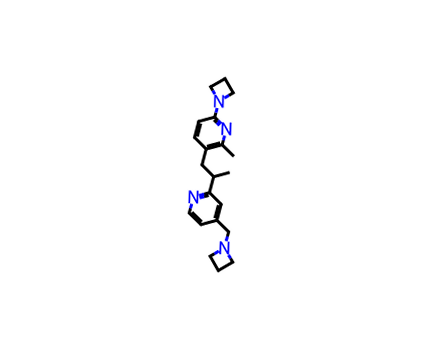 Cc1nc(N2CCC2)ccc1CC(C)c1cc(CN2CCC2)ccn1